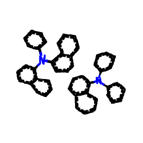 c1ccc(N(c2cccc3ccccc23)c2cccc3ccccc23)cc1.c1ccc(N(c2ccccc2)c2cccc3ccccc23)cc1